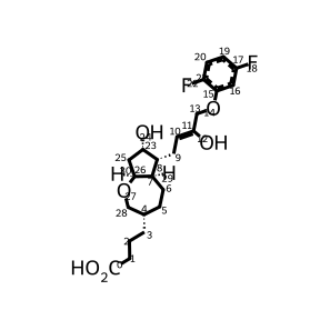 O=C(O)CCC[C@H]1CC[C@@H]2[C@@H](CC=C(O)COc3cc(F)ccc3F)[C@@H](O)C[C@@H]2OC1